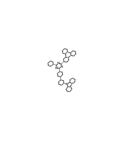 c1ccc(-c2nc(-c3ccc(-c4cccc(-n5c6ccccc6c6ccccc65)c4)cc3)nc(-c3ccc4c5ccccc5c5ccccc5c4c3)n2)cc1